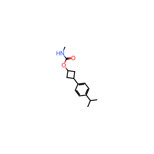 CNC(=O)OC1CC(c2ccc(C(C)C)cc2)C1